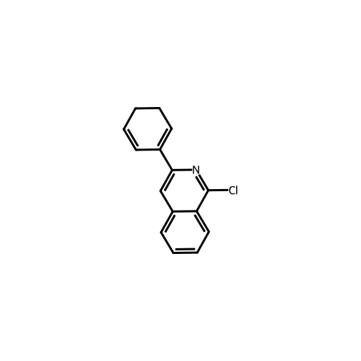 Clc1nc(C2=CCCC=C2)cc2ccccc12